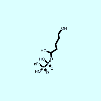 CCCP(=O)(O)P(=O)(O)OC(O)CCCCO